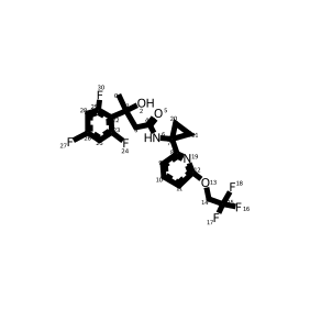 CC(O)(CC(=O)NC1(c2cccc(OCC(F)(F)F)n2)CC1)c1c(F)cc(F)cc1F